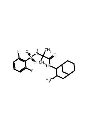 CC1CC2CCCC(C2)C1NC(=O)C(C)(C)NS(=O)(=O)c1c(F)cccc1F